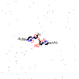 CC[C@H]1O[C@@H](n2ccc(NC(C)=O)nc2=O)CC1OC[C@H]1O[C@@H](n2ccc(NC(C)=O)nc2=O)CC1O